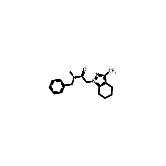 CN(Cc1ccccc1)C(=O)Cn1nc(C(F)(F)F)c2c1CCCC2